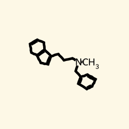 CN(CCCC1=CCC2=C1CC=CC2)Cc1ccccc1